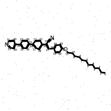 CCCCCCCCCCCCOc1ccc(/C=C(\C#N)c2ccc(-c3ccc(-c4ccncc4)cc3)cc2)cc1